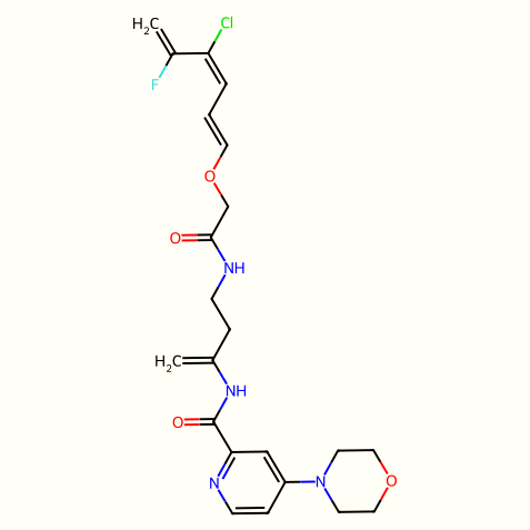 C=C(CCNC(=O)CO/C=C/C=C(/Cl)C(=C)F)NC(=O)c1cc(N2CCOCC2)ccn1